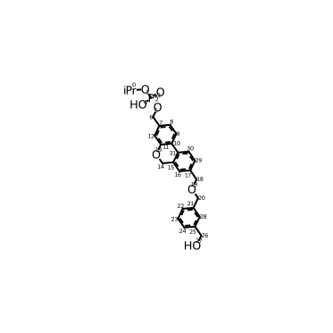 CC(C)OP(=O)(O)OCc1ccc2c(c1)OCc1cc(COCc3cccc(CO)c3)ccc1-2